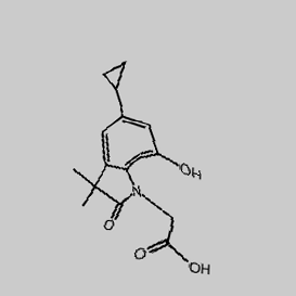 CC1(C)C(=O)N(CC(=O)O)c2c(O)cc(C3CC3)cc21